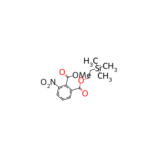 COC(=O)c1c(C(=O)OCC[Si](C)(C)C)cccc1[N+](=O)[O-]